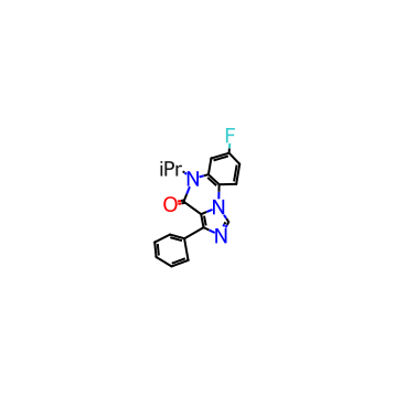 CC(C)n1c(=O)c2c(-c3ccccc3)ncn2c2ccc(F)cc21